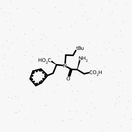 CC(C)(C)CCN(C(=O)[C@@H](N)CC(=O)O)[C@@H](Cc1ccccc1)C(=O)O